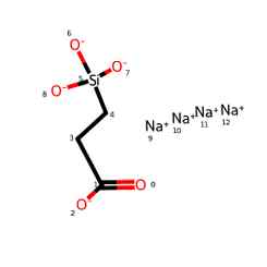 O=C([O-])CC[Si]([O-])([O-])[O-].[Na+].[Na+].[Na+].[Na+]